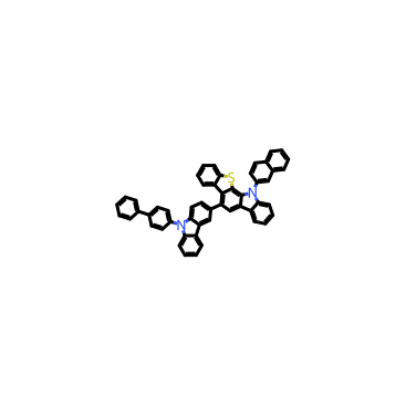 c1ccc(-c2ccc(-n3c4ccccc4c4cc(-c5cc6c7ccccc7n(-c7ccc8ccccc8c7)c6c6sc7ccccc7c56)ccc43)cc2)cc1